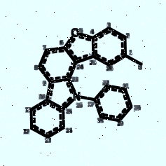 Cc1ccc2oc3ccc4c5ccccc5n(-c5ccccc5)c4c3c2c1